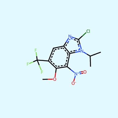 COc1c(C(F)(F)F)cc2nc(Cl)n(C(C)C)c2c1[N+](=O)[O-]